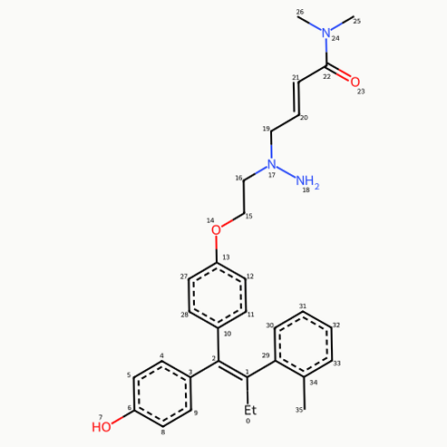 CC/C(=C(\c1ccc(O)cc1)c1ccc(OCCN(N)C/C=C/C(=O)N(C)C)cc1)c1ccccc1C